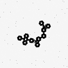 c1ccc(-c2c3ccccc3c(-c3ccc(-n4c5ccccc5c5cc(-c6cccc(-c7ccc8c(c7)c7ccccc7n8-c7ccccc7)c6)ccc54)cc3)c3ccccc23)cc1